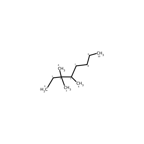 [CH2]CC(C)(C)C(C)CCCC